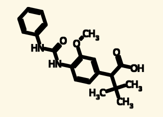 COc1cc(C(C(=O)O)C(C)(C)C)ccc1NC(=O)Nc1ccccc1